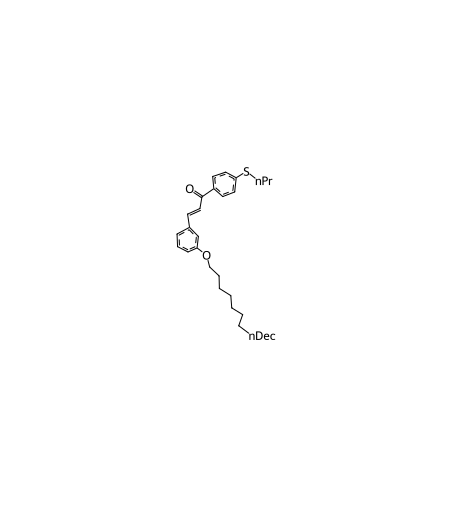 CCCCCCCCCCCCCCCCCOc1cccc(C=CC(=O)c2ccc(SCCC)cc2)c1